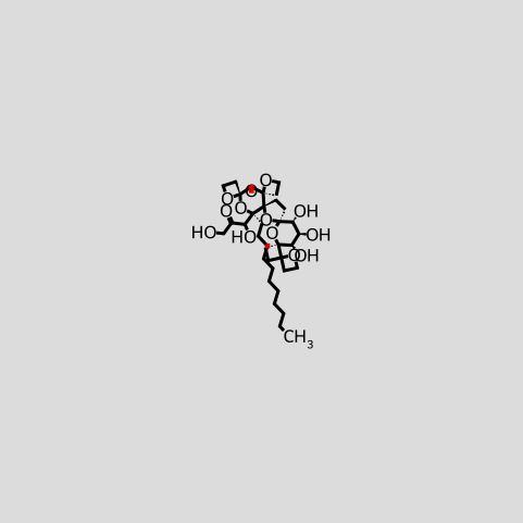 CCCCCCCCCCC[C@]1(C(O)C(=O)CO)O[C@@]2(CCO2)[C@@]2(CCO2)[C@]2(CCO2)[C@@]12CC[C@@]1(O2)O[C@@]2(CCC23CCO3)[C@H](O)[C@H](O)[C@H]1O